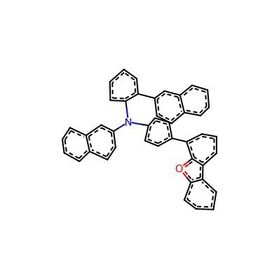 c1ccc(N(c2ccc(-c3cccc4c3oc3ccccc34)cc2)c2ccc3ccccc3c2)c(-c2ccc3ccccc3c2)c1